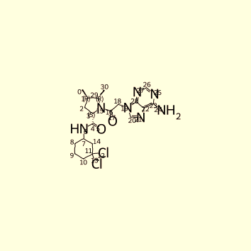 C[C@@H]1C[C@@H](C(=O)NC2CCCC(Cl)(Cl)C2)N(C(=O)Cn2cnc3c(N)ncnc32)[C@@H]1C